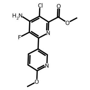 COC(=O)c1nc(-c2ccc(OC)nc2)c(F)c(N)c1Cl